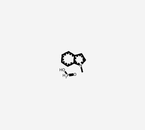 Cn1ccc2ccccc21.O=[PH2]O